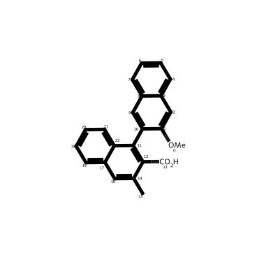 COc1cc2ccccc2cc1-c1c(C(=O)O)c(C)cc2ccccc12